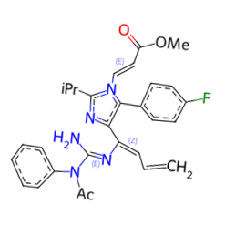 C=C/C=C(\N=C(/N)N(C(C)=O)c1ccccc1)c1nc(C(C)C)n(/C=C/C(=O)OC)c1-c1ccc(F)cc1